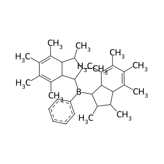 CC1=C(C)C2C(C)C(C)C(B(c3ccccc3)C3C(C)C(C)C4C(C)=C(C)C(C)=C(C)C34)C2C(C)=C1C